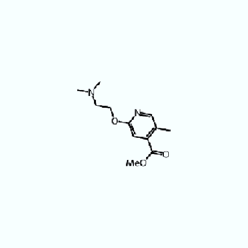 COC(=O)c1cc(OCCN(C)C)ncc1C